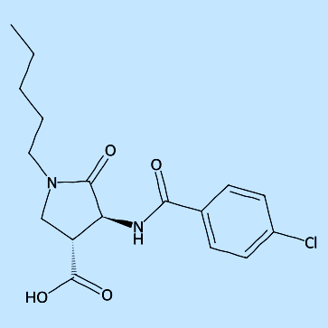 CCCCCN1C[C@@H](C(=O)O)[C@H](NC(=O)c2ccc(Cl)cc2)C1=O